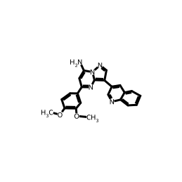 COc1ccc(-c2cc(N)n3ncc(-c4cnc5ccccc5c4)c3n2)cc1OC